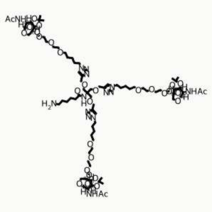 CC(=O)N[C@H]1[C@H]2OC[C@@](OOCCOCCOCCCCCn3cc(COCC(COCc4cn(CCCCCOCCOCCOO[C@]56CO[C@@H](O5)[C@H](NC(C)=O)[C@H]5OC(C)(C)O[C@H]56)nn4)(COCc4cn(CCCCCOCCOCCOO[C@]56CO[C@@H](O5)[C@H](NC(C)=O)[C@H]5OC(C)(C)O[C@H]56)nn4)NC(=O)CCCCCN)nn3)(O2)[C@@H]2OC(C)(C)O[C@H]12